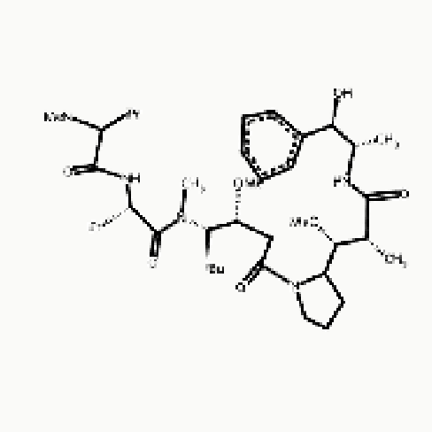 CC[C@H](C)[C@@H]([C@@H](CC(=O)N1CCCC1[C@H](OC)[C@@H](C)C(=O)N[C@@H](C)[C@H](O)c1ccccc1)OC)N(C)C(=O)[C@@H](NC(=O)C(NC)C(C)C)C(C)C